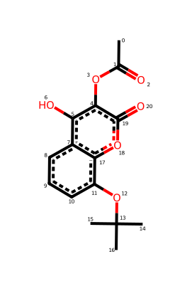 CC(=O)Oc1c(O)c2cccc(OC(C)(C)C)c2oc1=O